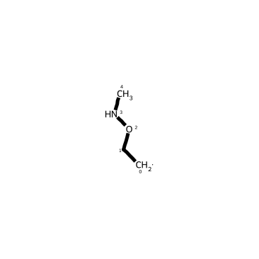 [CH2]CONC